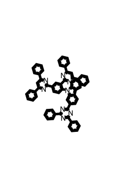 c1ccc(-c2cc(-c3ccccc3)nc(-c3ccc(-n4c5ccccc5c5ccc(-c6nc(-c7ccccc7)nc(-c7ccccc7)n6)cc54)c(-c4nc(-c5ccccc5)cc(-c5ccccc5)n4)c3)n2)cc1